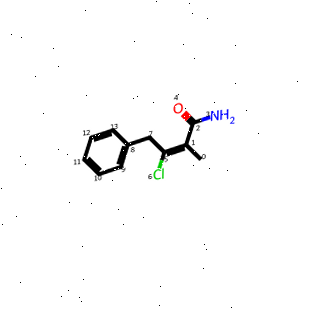 CC(C(N)=O)=C(Cl)Cc1ccccc1